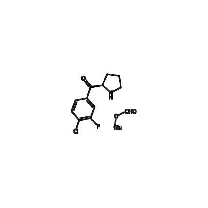 CC(C)(C)OC=O.O=C(c1ccc(Cl)c(F)c1)[C@H]1CCCN1